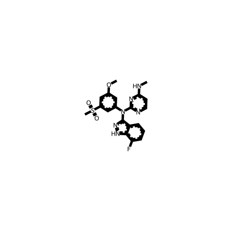 CNc1ccnc(N(c2cc(OC)cc(S(C)(=O)=O)c2)c2n[nH]c3c(F)cccc23)n1